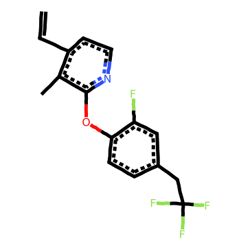 C=Cc1ccnc(Oc2ccc(CC(F)(F)F)cc2F)c1C